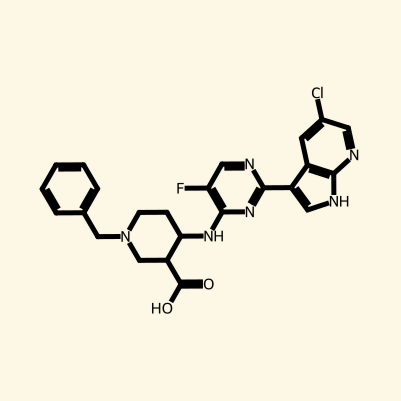 O=C(O)C1CN(Cc2ccccc2)CCC1Nc1nc(-c2c[nH]c3ncc(Cl)cc23)ncc1F